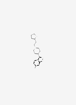 Fc1ccc2c(C3CCN(CCC4CCCN4)CC3)n[nH]c2c1